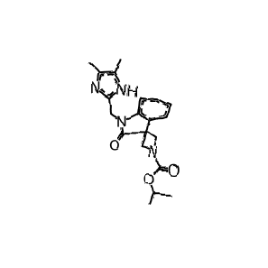 Cc1nc(CN2C(=O)C3(CN(C(=O)OC(C)C)C3)c3ccccc32)[nH]c1C